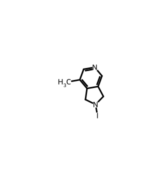 Cc1cncc2c1CN(I)C2